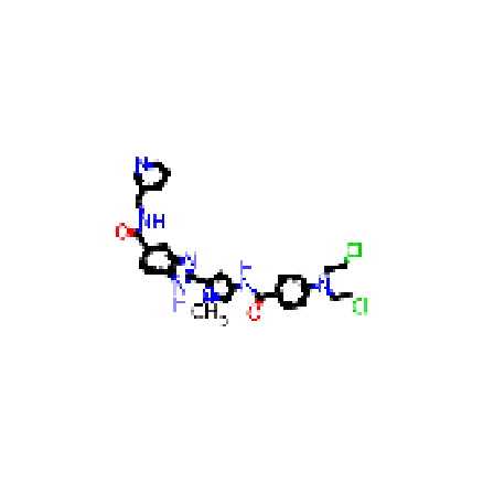 Cn1cc(NC(=O)c2ccc(N(CCCl)CCCl)cc2)cc1-c1nc2cc(C(=O)NCc3cccnc3)ccc2[nH]1